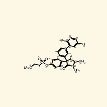 COCCS(=O)(=O)Oc1ccc(C2(c3cccc(-c4cc(Cl)cnc4F)c3)NC(N)N(C)C2=O)cc1